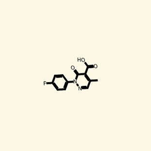 Cc1cnn(-c2ccc(F)cc2)c(=O)c1C(=O)O